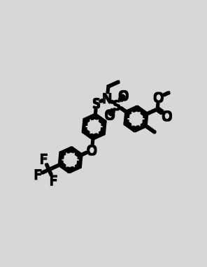 CCN(Sc1ccc(Oc2ccc(C(F)(F)F)cc2)cc1)S(=O)(=O)c1ccc(C)c(C(=O)OC)c1